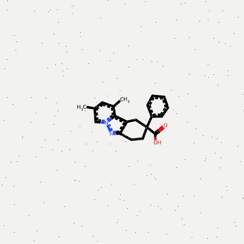 Cc1cc(C)c2c3c(nn2c1)CCC(C(=O)O)(c1ccccc1)C3